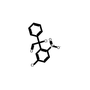 O=CC(Cl)(c1ccccc1)c1cc(Cl)ccc1[N+](=O)[O-]